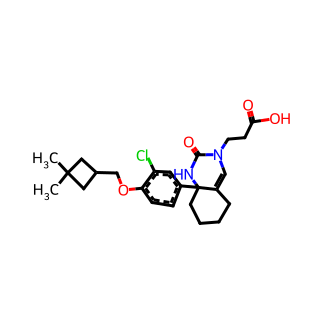 CC1(C)CC(COc2ccc(C34CCCCC3=CN(CCC(=O)O)C(=O)N4)cc2Cl)C1